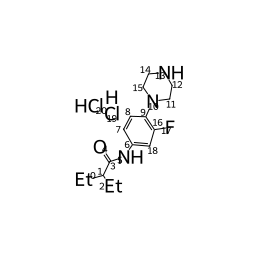 CCC(CC)C(=O)Nc1ccc(N2CCNCC2)c(F)c1.Cl.Cl